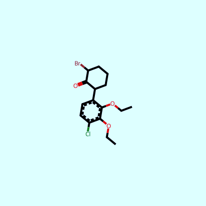 CCOc1c(Cl)ccc(C2CCCC(Br)C2=O)c1OCC